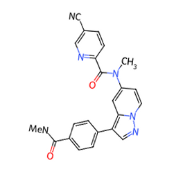 CNC(=O)c1ccc(-c2cnn3ccc(N(C)C(=O)c4ccc(C#N)cn4)cc23)cc1